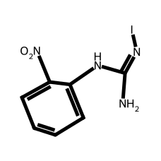 N/C(=N/I)Nc1ccccc1[N+](=O)[O-]